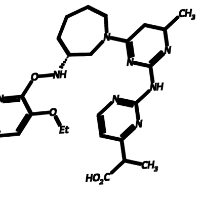 CCOc1cccnc1ON[C@@H]1CCCCN(C2=NC(Nc3nccc(C(C)C(=O)O)n3)=NC(C)C2)C1